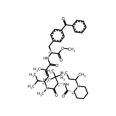 CCC(C)N1CCCC[C@@H]1C(=O)N[C@H](C(=O)N(C)[C@H](/C=C(\C)C(=O)N[C@@H](Cc1ccc(C(=O)c2ccccc2)cc1)C(=O)OC)C(C)C)C(C)(C)C